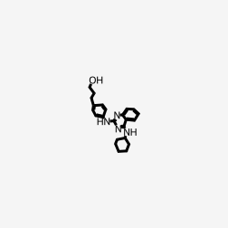 OCCCc1ccc(Nc2nc(NC3CCCCC3)c3ccccc3n2)cc1